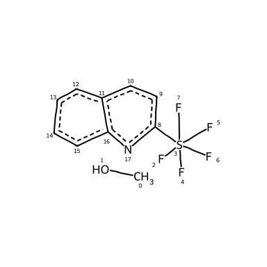 CO.FS(F)(F)(F)(F)c1ccc2ccccc2n1